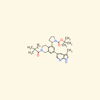 Cc1c[nH]c2ncc(-c3cc4c(c(C5CCCN5C(=O)OC(C)(C)C)c3)CCN(C(=O)C(C)(C)C)C4)cc12